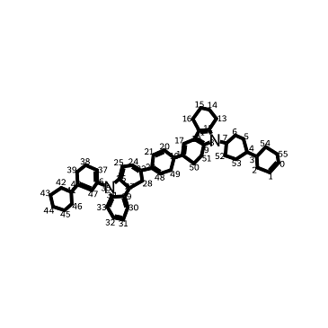 C1=CCC(C2CCC(n3c4c(c5c3CCCC5)C=C(C3C=CC(C5=CC=C6C(C5)c5ccccc5N6C5=CCCC(C6CCCCC6)=C5)=CC3)CC4)CC2)CC1